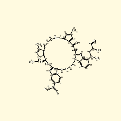 CCn1nc(C)c2c1C(=O)Nc1nc3cc(C(N)=O)ccc3n1CCCCn1c(nc3c(N(C)CC(O)C=O)cccc31)NC(=O)c1cc(C)nn1CCCCC2